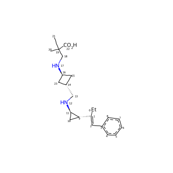 CC/C(=C\c1ccccc1)[C@@H]1C[C@H]1NC[C@H]1C[C@H](NCC(C)(C)C(=O)O)C1